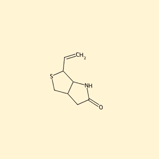 C=CC1SCC2CC(=O)NC21